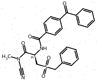 CN(C#N)C(=O)[C@H](CS(=O)(=O)Cc1ccccc1)NC(=O)c1ccc(C(=O)c2ccccc2)cc1